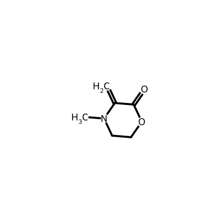 C=C1C(=O)OCCN1C